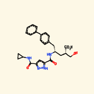 O=C(NC1CC1)c1cc(C(=O)N[C@H](Cc2ccc(-c3ccccc3)cc2)C[C@@H](CO)C(=O)O)[nH]n1